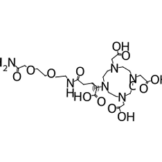 NC(=O)COCCOCCNC(=O)CC[C@H](C(=O)O)N1CCN(CC(=O)O)CCN(CC(=O)O)CCN(CC(=O)O)CC1